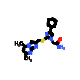 Cc1cc(C)n2cc(CSc3nc(-c4ccccc4)cn3CC(N)=O)nc2n1